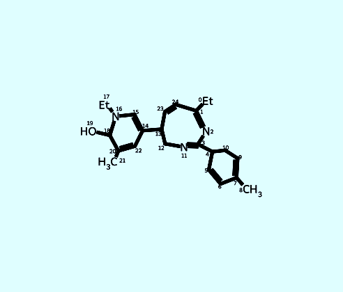 CC/C1=N/C(C2C=CC(C)=CC2)=N\CC(C2=CN(CC)C(O)C(C)=C2)C=C1